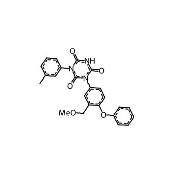 COCc1cc(-n2c(=O)[nH]c(=O)n(-c3cccc(C)c3)c2=O)ccc1Oc1ccccc1